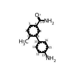 Cc1ccc(C(N)=O)cc1-c1ccc(N)cc1